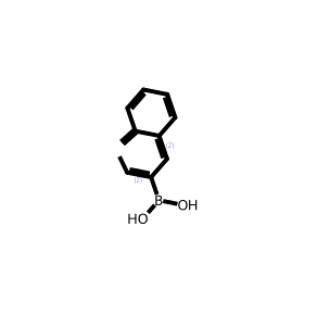 C=c1cccc/c1=C/C(=C\C)B(O)O